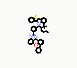 C=C/C=C\C1=C(c2cccc(-c3nc(-c4cccc5c4oc4ccccc45)c4ccccc4n3)c2)n2c3c(cccc3c3sc4ccccc4c32)C1(C)C